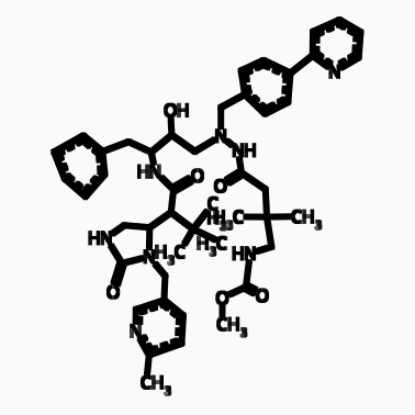 COC(=O)NCC(C)(C)CC(=O)NN(Cc1ccc(-c2ccccn2)cc1)CC(O)C(Cc1ccccc1)NC(=O)C(C1CNC(=O)N1Cc1ccc(C)nc1)C(C)(C)C